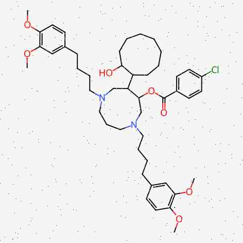 COc1ccc(CCCCN2CCCN(CCCCc3ccc(OC)c(OC)c3)CC(C3CCCCCCCC3O)C(OC(=O)c3ccc(Cl)cc3)C2)cc1OC